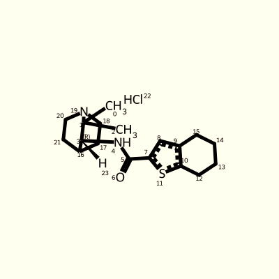 CC1(C)[C@H](NC(=O)c2cc3c(s2)CCCC3)C2CCN1CC2.Cl